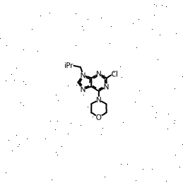 CC(C)Cn1cnc2c(N3CCOCC3)nc(Cl)nc21